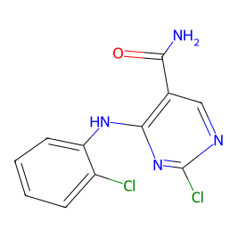 NC(=O)c1cnc(Cl)nc1Nc1ccccc1Cl